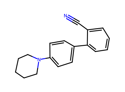 N#Cc1ccccc1-c1ccc(N2CCCCC2)cc1